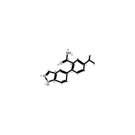 CC(C)c1ccc(-c2ccc3[nH]ncc3c2)c(C(N)=O)c1